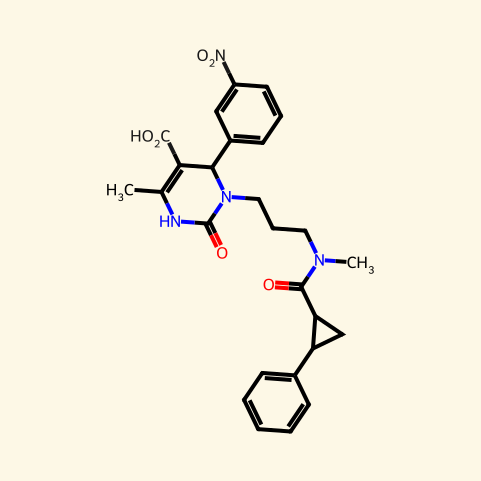 CC1=C(C(=O)O)C(c2cccc([N+](=O)[O-])c2)N(CCCN(C)C(=O)C2CC2c2ccccc2)C(=O)N1